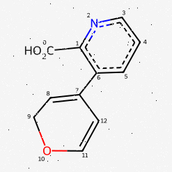 O=C(O)c1ncccc1C1=CCOC=C1